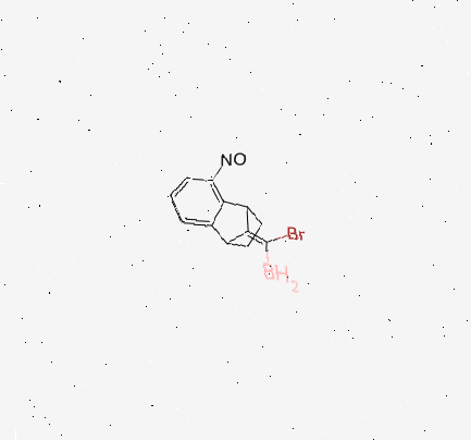 B/C(Br)=C1\C2CCC1c1c(N=O)cccc12